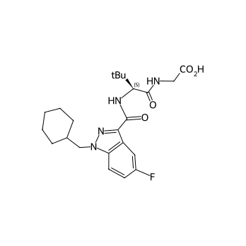 CC(C)(C)[C@H](NC(=O)c1nn(CC2CCCCC2)c2ccc(F)cc12)C(=O)NCC(=O)O